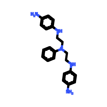 Nc1ccc(NCCN(CCNc2ccc(N)cc2)c2ccccc2)cc1